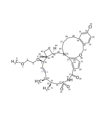 COCCO[C@@H]1/C=C/[C@H](C)[C@H](C)CS(=O)(=O)NC(=O)c2ccc3c(c2)N(CCCCc2cc(Cl)ccc2CO3)C[C@@H]2CC[C@H]21